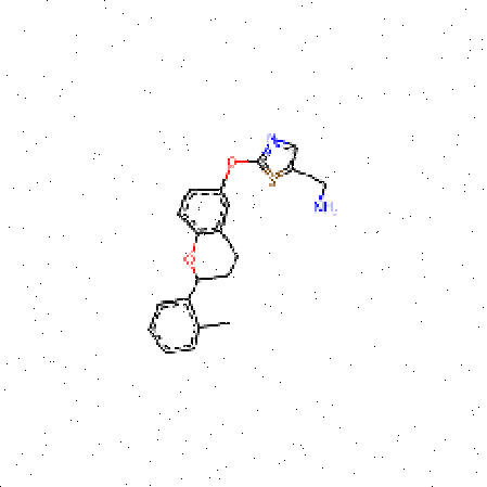 Cc1ccccc1C1CCc2cc(Oc3ncc(CN)s3)ccc2O1